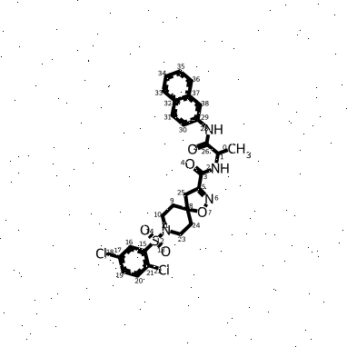 CC(NC(=O)C1=NOC2(CCN(S(=O)(=O)c3cc(Cl)ccc3Cl)CC2)C1)C(=O)Nc1ccc2ccccc2c1